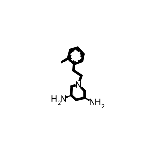 Cc1ccccc1CCN1C[C@H](N)C[C@H](N)C1